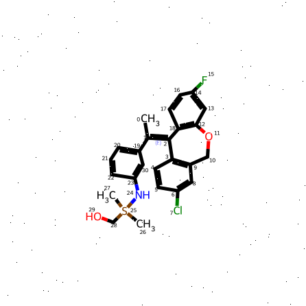 C/C(=C1/c2ccc(Cl)cc2COc2cc(F)ccc21)c1cccc(NS(C)(C)CO)c1